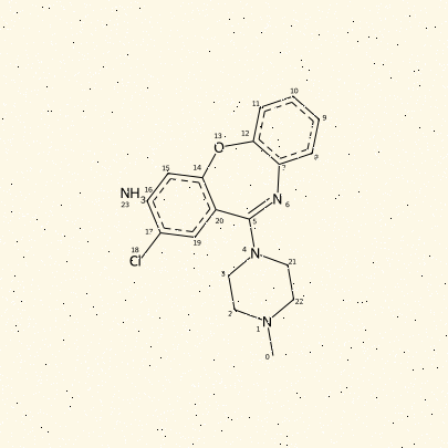 CN1CCN(C2=Nc3ccccc3Oc3ccc(Cl)cc32)CC1.N